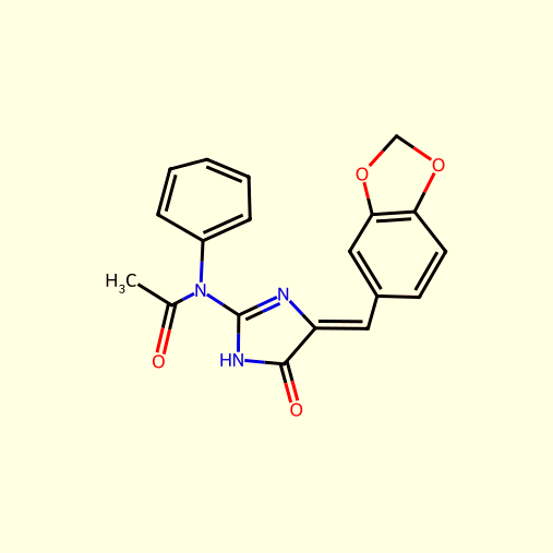 CC(=O)N(C1=NC(=Cc2ccc3c(c2)OCO3)C(=O)N1)c1ccccc1